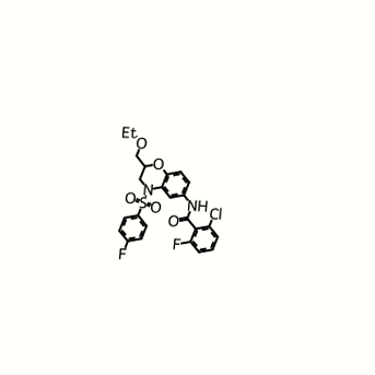 CCOCC1CN(S(=O)(=O)c2ccc(F)cc2)c2cc(NC(=O)c3c(F)cccc3Cl)ccc2O1